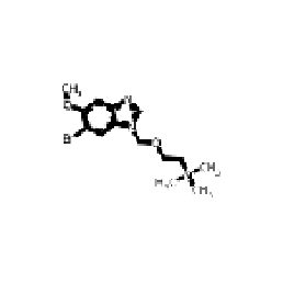 COc1cc2ncn(COCC[Si](C)(C)C)c2cc1Br